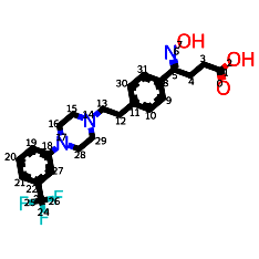 O=C(O)CCC(=NO)c1ccc(CCN2CCN(c3cccc(C(F)(F)F)c3)CC2)cc1